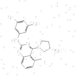 CC(=O)N[C@H]1CCN(c2nc(Nc3cc(N)cc(C#N)c3)nc3cccc(C)c23)C1